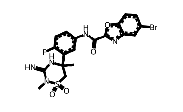 CN1C(=N)NC(C)(c2cc(NC(=O)c3nc4cc(Br)ccc4o3)ccc2F)CS1(=O)=O